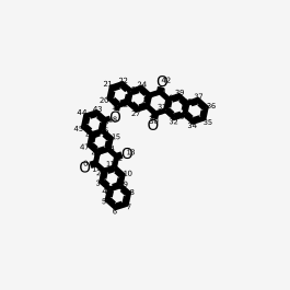 O=C1c2cc3ccccc3cc2C(=O)c2cc3c(Oc4cccc5cc6c(cc45)C(=O)c4cc5ccccc5cc4C6=O)cccc3cc21